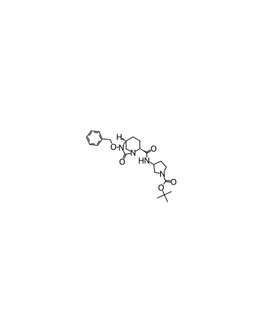 CC(C)(C)OC(=O)N1CCC(NC(=O)[C@@H]2CC[C@@H]3CN2C(=O)N3OCc2ccccc2)C1